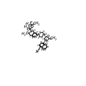 CC1Cc2cnc(N3CCN(C[C@H]4CN(c5ccc(C#N)c6nccnc56)C[C@@H](C)O4)CC3)cc2CN1C(=O)OC(C)(C)C